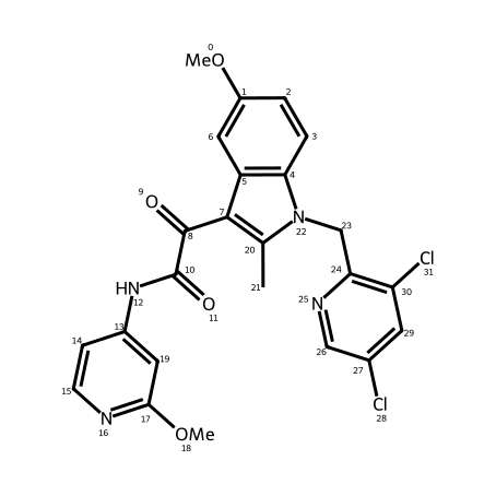 COc1ccc2c(c1)c(C(=O)C(=O)Nc1ccnc(OC)c1)c(C)n2Cc1ncc(Cl)cc1Cl